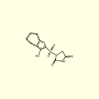 O=C1CN(S(=O)(=O)c2sc3ccccc3c2O)C(=O)N1